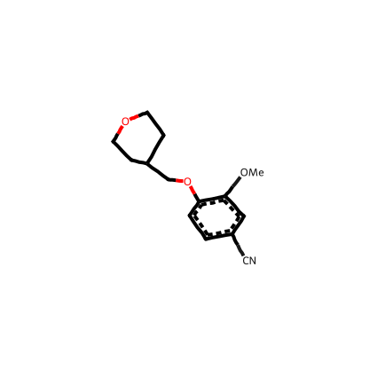 COc1cc(C#N)ccc1OCC1CCOCC1